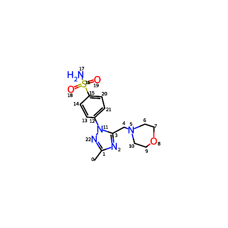 Cc1nc(CN2CCOCC2)n(-c2ccc(S(N)(=O)=O)cc2)n1